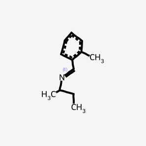 CCC(C)/N=C/c1ccccc1C